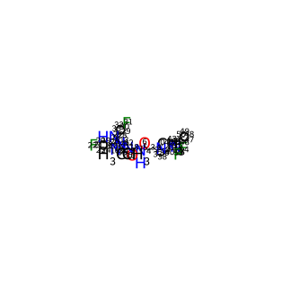 C[N+]1=C(CCC(=O)NCC(=O)N2CCn3c(nc(-c4ccc(F)cc4)c3Nc3ccc(F)cc3)C2(C)C)C=C/C1=C/c1ccc(-c2ccccc2)n1B(F)F